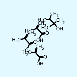 C=C(C)C(=O)O.C=C(C)C(=O)O.C=C(C)C(=O)O.CC(C)C(C)(C)O